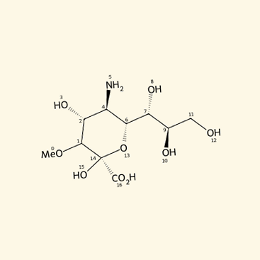 COC1[C@H](O)[C@@H](N)[C@H]([C@H](O)[C@H](O)CO)O[C@]1(O)C(=O)O